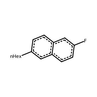 [CH2]CCCCCc1ccc2cc(F)ccc2c1